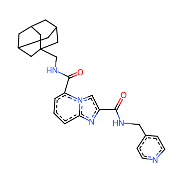 O=C(NCc1ccncc1)c1cn2c(C(=O)NCC34CC5CC(CC(C5)C3)C4)cccc2n1